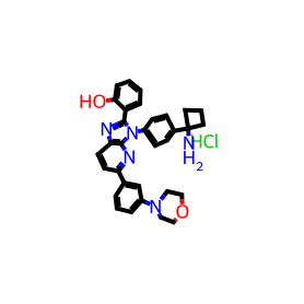 Cl.NC1(c2ccc(-n3c(-c4ccccc4O)nc4ccc(-c5cccc(N6CCOCC6)c5)nc43)cc2)CCC1